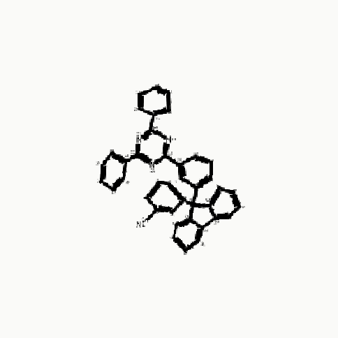 N#Cc1cccc(C2(c3cccc(-c4nc(-c5ccccc5)nc(-c5ccccc5)n4)c3)c3ccccc3-c3ccccc32)c1